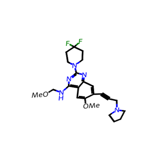 COCNc1nc(N2CCC(F)(F)CC2)nc2cc(C#CCN3CCCC3)c(OC)cc12